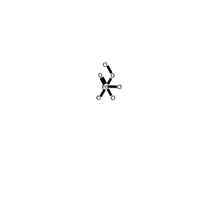 [O]=[Pd]([Cl])([Cl])([Cl])[O]Cl